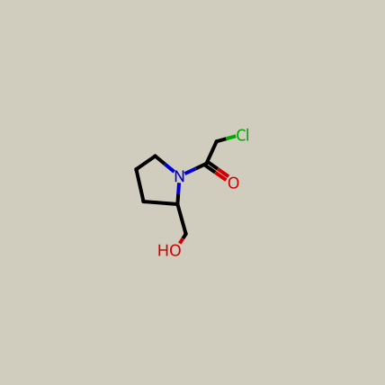 O=C(CCl)N1CCCC1CO